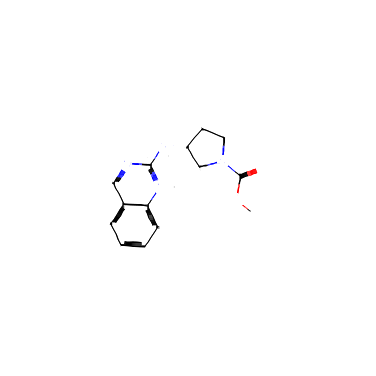 CC(C)(C)OC(=O)N1CC[C@@H](Nc2ncc3ccccc3n2)C1